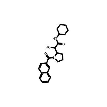 O=C(NC1CCCCC1)C(O)C1CCCN1C(=O)c1ccc2ccccc2c1